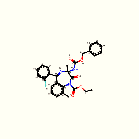 CCOC(=O)N1C(=O)C(C)(NC(=O)OCc2ccccc2)N=C(c2ccccc2F)c2cccc(C)c21